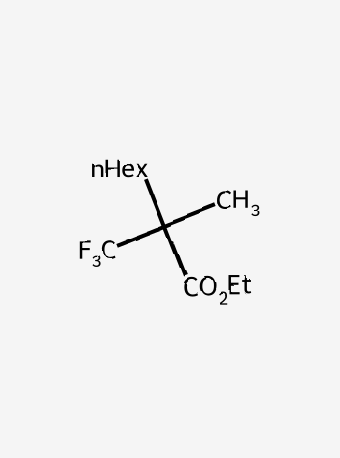 CCCCCCC(C)(C(=O)OCC)C(F)(F)F